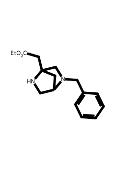 CCOC(=O)CC12CC(CN1)N(Cc1ccccc1)C2